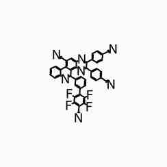 N#Cc1ccc(-c2nc3cc(C#N)c4c5ccccc5nc(-c5cccc(-c6c(F)c(F)c(C#N)c(F)c6F)c5)c4c3nc2-c2ccc(C#N)cc2)cc1